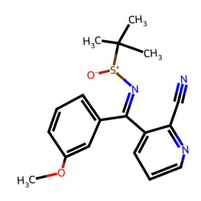 COc1cccc(/C(=N\[S+]([O-])C(C)(C)C)c2cccnc2C#N)c1